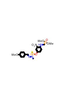 COc1ccc(/C=N/N(C)[PH](=S)Oc2ccc(NCP(=O)(OC)OC)c([N+](=O)[O-])c2)cc1